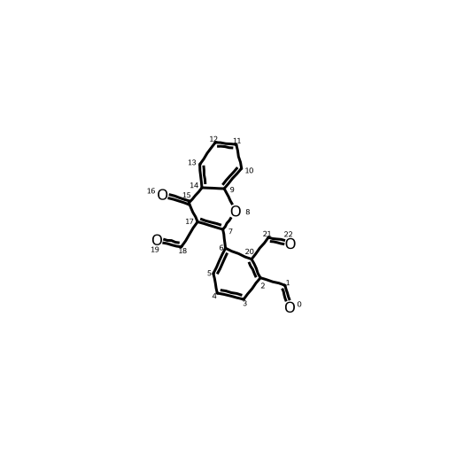 O=Cc1cccc(-c2oc3ccccc3c(=O)c2C=O)c1C=O